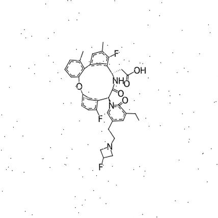 CCc1cc(CCN2CC(F)C2)cn([C@@H]2C(=O)N[C@@H](CC(=O)O)c3cc(cc(C)c3F)-c3c(C)cccc3Oc3ccc(F)c2c3)c1=O